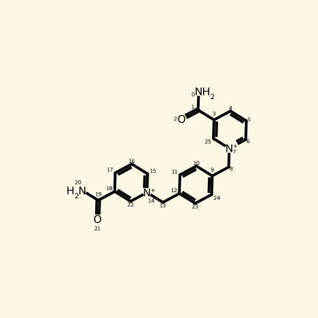 NC(=O)c1ccc[n+](Cc2ccc(C[n+]3cccc(C(N)=O)c3)cc2)c1